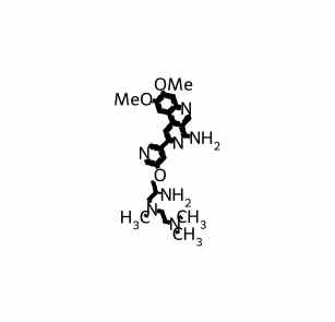 COc1cc2ncc3c(N)nc(-c4cncc(OC[C@@H](N)CN(C)CCN(C)C)c4)cc3c2cc1OC